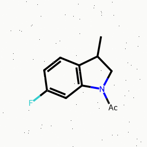 CC(=O)N1CC(C)c2ccc(F)cc21